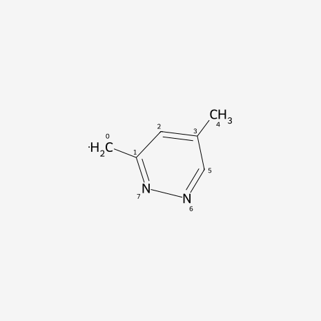 [CH2]c1cc(C)cnn1